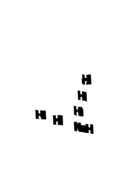 I.I.I.I.I.[NaH]